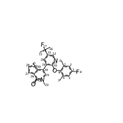 Cc1cc(F)cc(C)c1Oc1ncc(C(C)(C)F)cc1-c1cn(C)c(=O)c2ccsc12